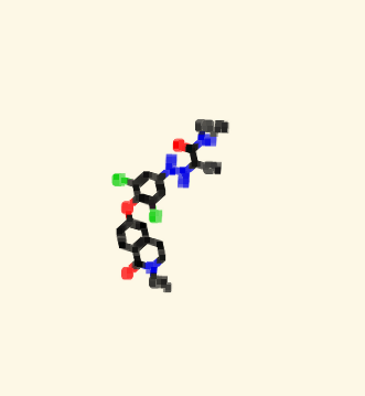 CCOC(=O)NC(=O)C(C#N)NNc1cc(Cl)c(Oc2ccc3c(c2)CCN(C)C3=O)c(Cl)c1